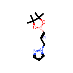 CC1(C)OB(/C=C/Cn2cccn2)OC1(C)C